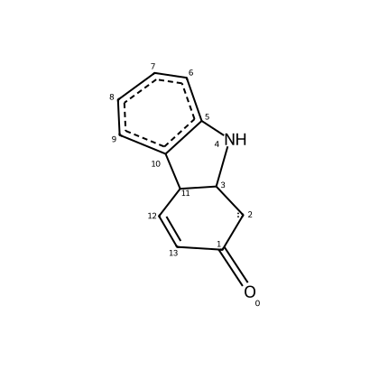 O=C1[C]C2Nc3ccccc3C2C=C1